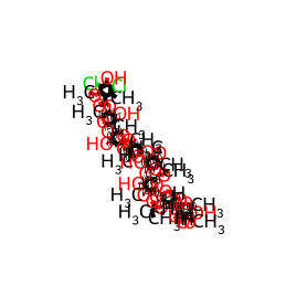 COC[C@H]1O[C@@H](O[C@@H]2OC[C@@H]3O[C@]4(O[C@H]3[C@H]2OC(=O)C(C)C)O[C@H](C)[C@@](O)(C(C)=O)[C@@H]2OCO[C@H]24)[C@@H](OC)[C@@H](O)[C@@H]1O[C@@H]1O[C@H](C)[C@H](OC)[C@H](O[C@H]2C[C@@]3(C)OC4(C[C@@H](O)[C@H](O[C@H]5C[C@@H](O)[C@H](OC(=O)c6c(C)c(Cl)c(O)c(Cl)c6OC)[C@@H](C)O5)[C@@H](C)O4)O[C@@H]3[C@@H](C)O2)[C@H]1O